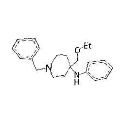 CCOCC1(Nc2ccccc2)CCN(Cc2ccccc2)CC1